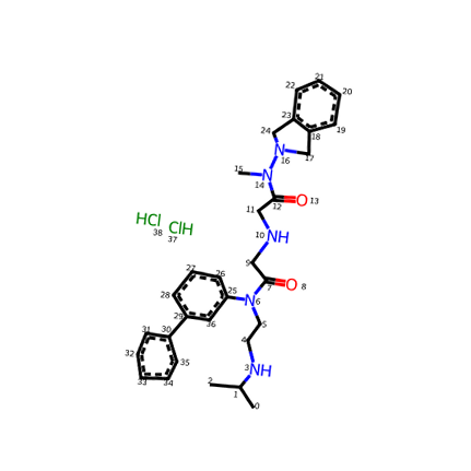 CC(C)NCCN(C(=O)CNCC(=O)N(C)N1Cc2ccccc2C1)c1cccc(-c2ccccc2)c1.Cl.Cl